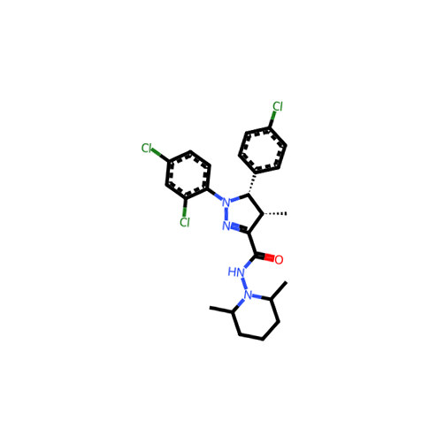 CC1CCCC(C)N1NC(=O)C1=NN(c2ccc(Cl)cc2Cl)[C@H](c2ccc(Cl)cc2)[C@@H]1C